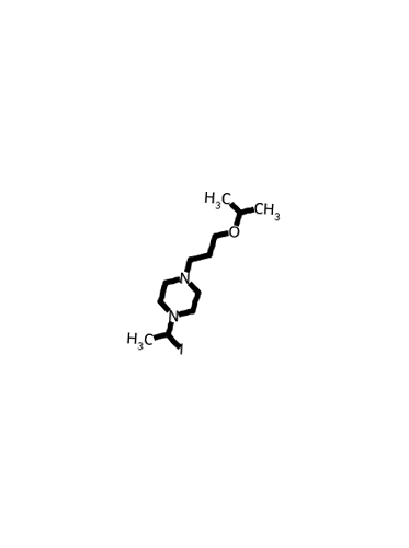 CC(C)OCCCN1CCN(C(C)I)CC1